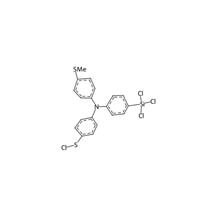 CSc1ccc(N(c2ccc(SCl)cc2)c2ccc([Si](Cl)(Cl)Cl)cc2)cc1